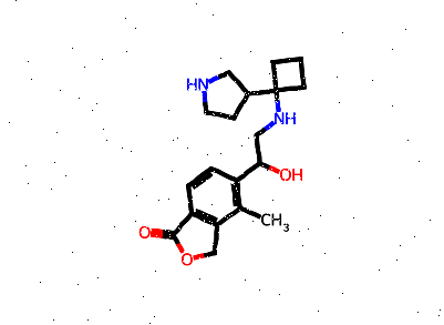 Cc1c(C(O)CNC2(C3CCNC3)CCC2)ccc2c1COC2=O